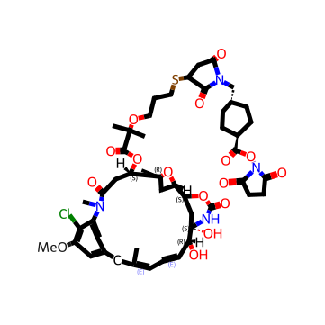 COc1cc2cc(c1Cl)N(C)C(=O)C[C@H](OC(=O)C(C)(C)OCCCSC1CC(=O)N(C[C@H]3CC[C@H](C(=O)ON4C(=O)CCC4=O)CC3)C1=O)[C@@]1(C)CC(C)(O1)[C@@H]1C[C@@](O)(NC(=O)O1)[C@H](O)/C=C/C=C(\C)C2